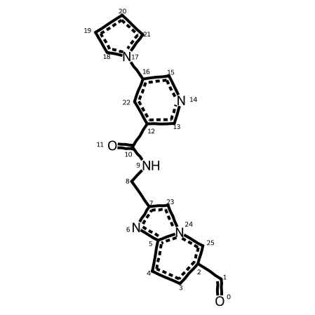 O=Cc1ccc2nc(CNC(=O)c3cncc(-n4cccc4)c3)cn2c1